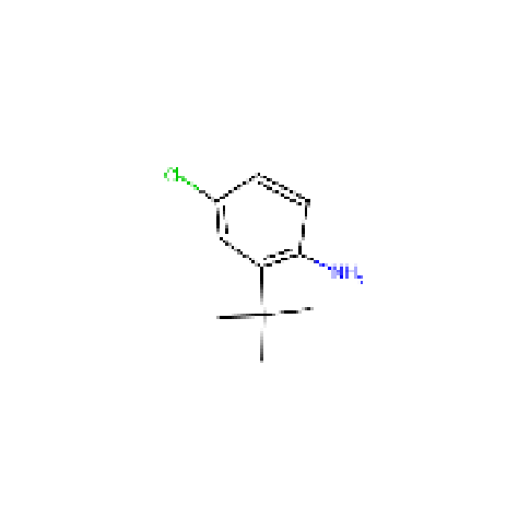 CC(C)(C)c1cc(Cl)ccc1N